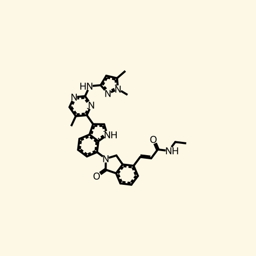 CCNC(=O)/C=C/c1cccc2c1CN(c1cccc3c(-c4nc(Nc5cc(C)n(C)n5)ncc4C)c[nH]c13)C2=O